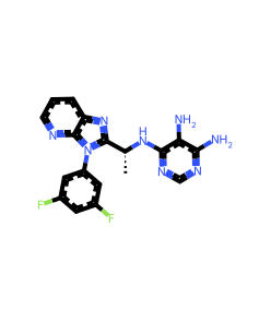 C[C@@H](Nc1ncnc(N)c1N)c1nc2cccnc2n1-c1cc(F)cc(F)c1